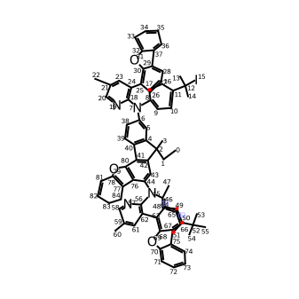 CCC1(C)c2cc(N(C3=CC=C(C(C)(C)I)CC3)c3ncc(C)cc3-c3cccc4c3oc3ccccc34)ccc2-c2c1cc(N(/C(C)=C/C=C(\C)C(C)(C)C)c1ncc(C)cc1-c1cccc3c1oc1ccccc13)c1c3c(oc21)C=CCC3